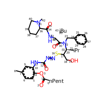 CCCCCC(=O)Oc1ccc(C)cc1NC(=O)N=NSC(CO)[C@H](C(C)C)N(Cc1ccccc1)C(=O)[C@@H](NC(=O)C1CCCCN1C)[C@H](C)CC